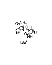 CC(C)(C)CCNC(=O)[C@@H]1C[C@H]2C[C@H]2N1C(=O)Cn1nc(C(N)=O)c2ccncc21